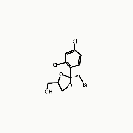 OC[C@@H]1CO[C@](CBr)(c2ccc(Cl)cc2Cl)O1